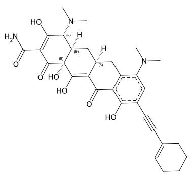 CN(C)c1cc(C#CC2=CCCCC2)c(O)c2c1C[C@@H]1C[C@@H]3[C@@H](N(C)C)C(O)=C(C(N)=O)C(=O)[C@]3(O)C(O)=C1C2=O